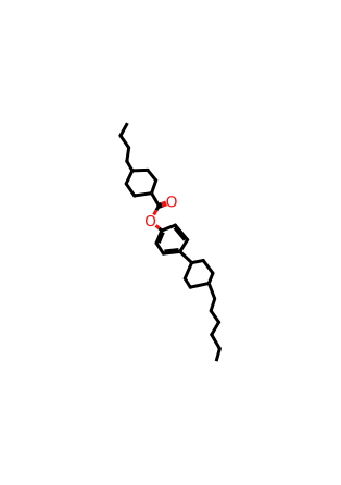 CCCCCCC1CCC(c2ccc(OC(=O)C3CCC(CCCC)CC3)cc2)CC1